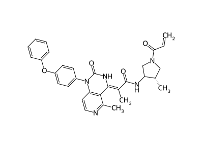 C=CC(=O)N1CC(NC(=O)/C(C)=C2\NC(=O)N(c3ccc(Oc4ccccc4)cc3)c3ccnc(C)c32)[C@@H](C)C1